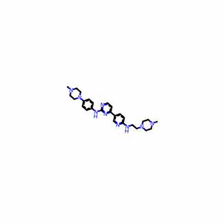 CN1CCN(CCNc2ccc(-c3ccnc(Nc4ccc(N5CCN(C)CC5)cc4)n3)cn2)CC1